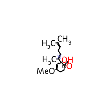 COC1=C[C@](O)(/C(C)=C/CC=C(C)C)[C@]2(CC1)CO2